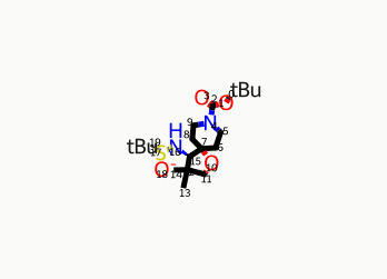 CC(C)(C)OC(=O)N1CCC2(CC1)OCC(C)(C)[C@H]2N[S@+]([O-])C(C)(C)C